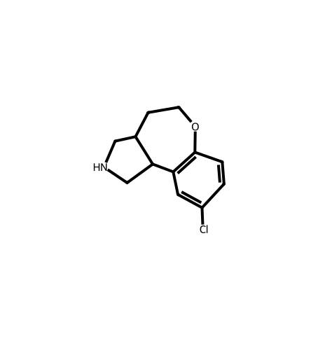 Clc1ccc2c(c1)C1CNCC1CCO2